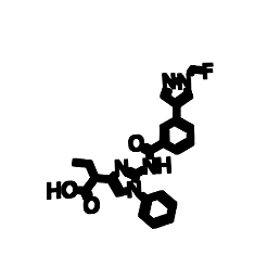 CCC(C(=O)O)c1cn(-c2ccccc2)c(NC(=O)c2cccc(-c3cnn(CF)c3)c2)n1